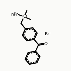 CCC[N+](C)(C)Cc1ccc(C(=O)c2ccccc2)cc1.[Br-]